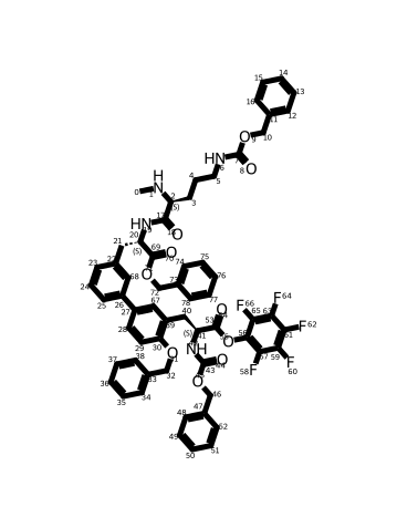 CN[C@@H](CCCNC(=O)OCc1ccccc1)C(=O)N[C@@H](Cc1cccc(-c2ccc(OCc3ccccc3)c(C[C@H](NC(=O)OCc3ccccc3)C(=O)Oc3c(F)c(F)c(F)c(F)c3F)c2)c1)C(=O)OCc1ccccc1